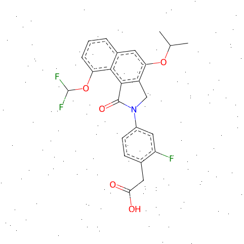 CC(C)Oc1cc2cccc(OC(F)F)c2c2c1CN(c1ccc(CC(=O)O)c(F)c1)C2=O